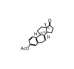 CC(=O)Oc1ccc2c(c1)CC=C1[C@@H]2CC[C@]2(C)C(=O)CC[C@@H]12